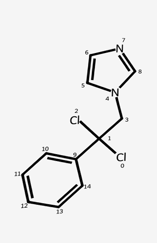 ClC(Cl)(Cn1ccnc1)c1ccccc1